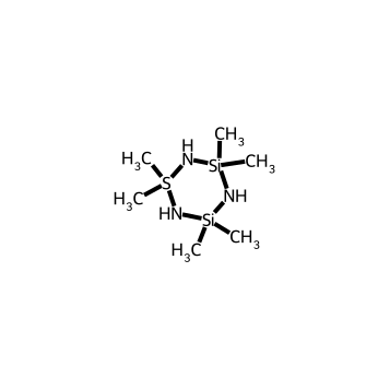 C[Si]1(C)N[Si](C)(C)NS(C)(C)N1